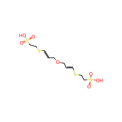 O=S(=O)(O)CCSC=CCOCC=CSCCS(=O)(=O)O